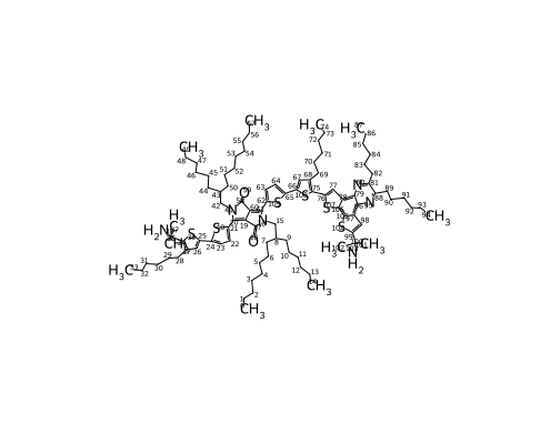 CCCCCCCCC(CCCCCC)CN1C(=O)C2=C(c3ccc(-c4cc(CCCCCC)c(C(C)(C)N)s4)s3)N(CC(CCCCCC)CCCCCCCC)C(=O)C2=C1c1ccc(-c2cc(CCCCCC)c(-c3cc4c5nc(CCCCCC)c(CCCCCC)nc5c5cc(C(C)(C)N)sc5c4s3)s2)s1